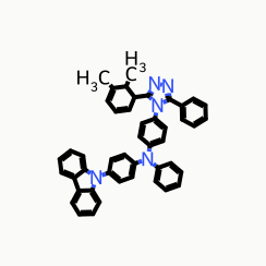 CC1=CC=CC(c2nnc(-c3ccccc3)n2-c2ccc(N(c3ccccc3)c3ccc(-n4c5ccccc5c5ccccc54)cc3)cc2)C1C